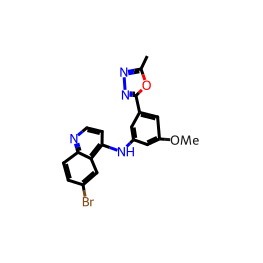 COc1cc(Nc2ccnc3ccc(Br)cc23)cc(-c2nnc(C)o2)c1